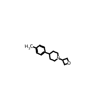 Cc1ccc(C2CCN(C3COC3)CC2)cc1